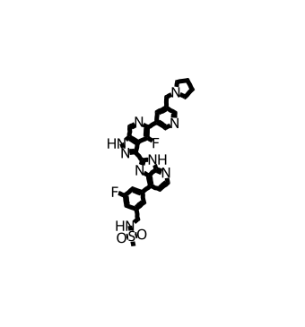 CS(=O)(=O)NCc1cc(F)cc(-c2ccnc3[nH]c(-c4n[nH]c5cnc(-c6cncc(CN7CCCC7)c6)c(F)c45)nc23)c1